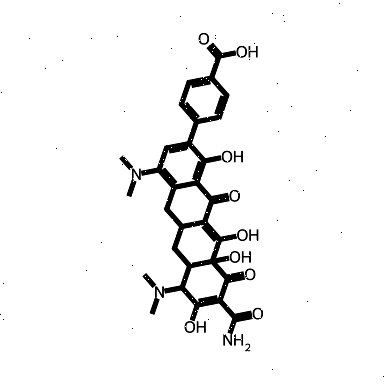 CN(C)c1cc(-c2ccc(C(=O)O)cc2)c(O)c2c1CC1CC3C(N(C)C)C(O)=C(C(N)=O)C(=O)C3(O)C(O)=C1C2=O